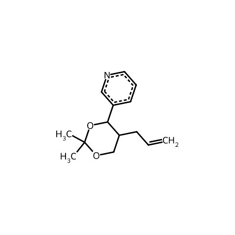 C=CCC1COC(C)(C)OC1c1cccnc1